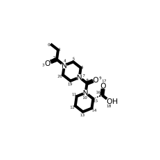 CCC(=O)N1CCN(C(=O)N2CCCC[C@H]2C(=O)O)CC1